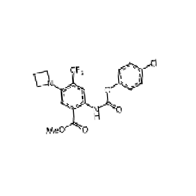 COC(=O)c1cc(N2CCC2)c(C(F)(F)F)cc1NC(=O)Oc1ccc(Cl)cc1